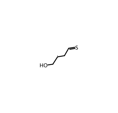 OC[CH]CC=S